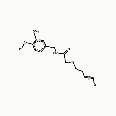 COc1cc(CNC(=O)CCCC/C=C/C(C)C)ccc1OC(C)C